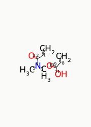 C=CC(=O)N(C)C.C=CC(=O)O